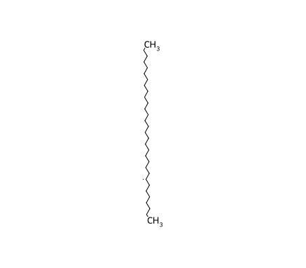 CCCCCCC[CH]CCCCCCCCCCCCCCCCCCCCCCC